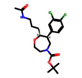 CC(=O)NCCC[C@H]1OCCN(C(=O)OC(C)(C)C)C[C@@H]1c1ccc(Cl)c(Cl)c1